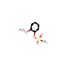 COc1[c]cccc1OS(C)(=O)=O